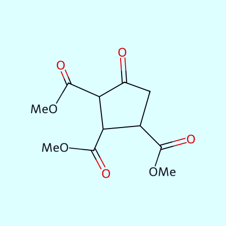 COC(=O)C1CC(=O)C(C(=O)OC)C1C(=O)OC